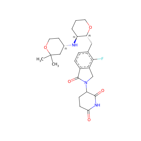 CC1(C)C[C@@H](N[C@H]2CCCO[C@@H]2Cc2ccc3c(c2F)CN(C2CCC(=O)NC2=O)C3=O)CCO1